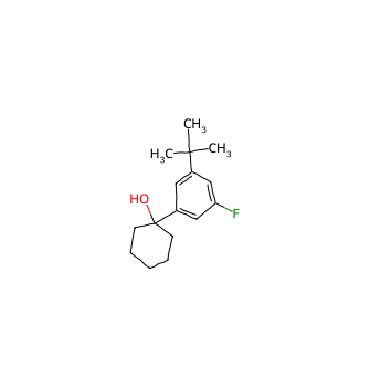 CC(C)(C)c1cc(F)cc(C2(O)CCCCC2)c1